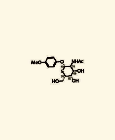 COc1ccc(O[C@H]2S[C@@H](CO)[C@@H](O)[C@H](O)[C@@H]2NC(C)=O)cc1